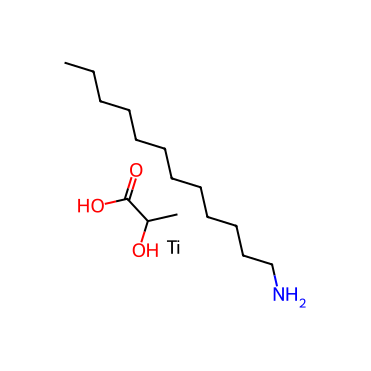 CC(O)C(=O)O.CCCCCCCCCCCCN.[Ti]